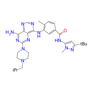 Cc1ccc(C(=O)Nc2cc(C(C)(C)C)nn2C)cc1Nc1ncnc2c(N)nc(N3CCN(CC(C)C)CC3)nc12